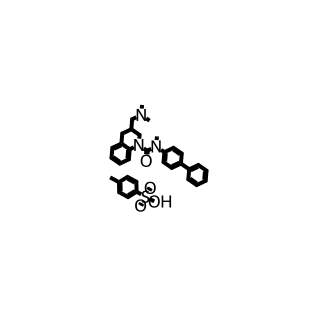 CN(C)CC1Cc2ccccc2N(C(=O)N(C)c2ccc(-c3ccccc3)cc2)C1.Cc1ccc(S(=O)(=O)O)cc1